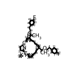 CC(OCCc1ccc(F)cc1)C1=Cc2cc3[nH]c(cc4nc(cc5ccc(cc1n2)[nH]5)C=C4)cc3C(C)OCCc1ccc(F)cc1.[K].[K]